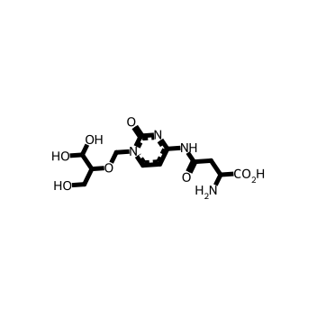 NC(CC(=O)Nc1ccn(COC(CO)C(O)O)c(=O)n1)C(=O)O